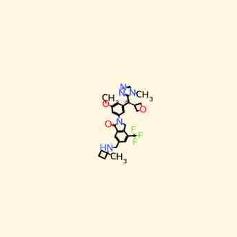 COc1cc([C@@H](c2nncn2C)C2COC2)cc(N2Cc3c(cc(CNC4(C)CCC4)cc3C(F)(F)F)C2=O)c1